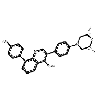 COc1c(-c2ccc(N3C[C@@H](C)O[C@@H](C)C3)cc2)cnc2c(-c3ccc(C(F)(F)F)cc3)cccc12